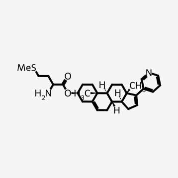 CSCCC(N)C(=O)O[C@H]1CC[C@@]2(C)C(=CC[C@@H]3[C@@H]2CC[C@]2(C)C(c4cccnc4)=CC[C@@H]32)C1